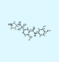 COc1ccc(S(=O)(=O)NC2CCNC2)cc1C(=O)Nc1ccc(F)c(C)c1